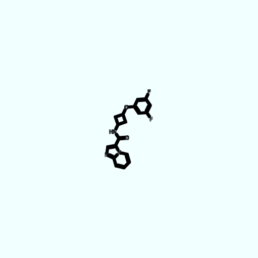 O=C(NC1CC(Oc2cc(F)cc(F)c2)C1)c1cnc2ccccn12